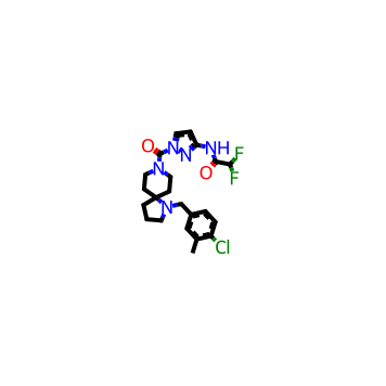 Cc1cc(CN2CCCC23CCN(C(=O)n2ccc(NC(=O)C(F)F)n2)CC3)ccc1Cl